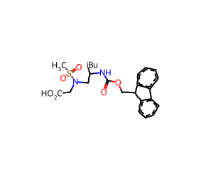 CCC(C)C(CN(CC(=O)O)S(C)(=O)=O)NC(=O)OCC1c2ccccc2-c2ccccc21